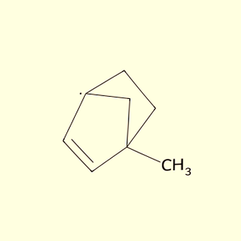 CC12C=C[C](CC1)C2